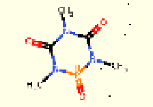 CN1C(=O)N(C)[PH](=O)N(C)C1=O